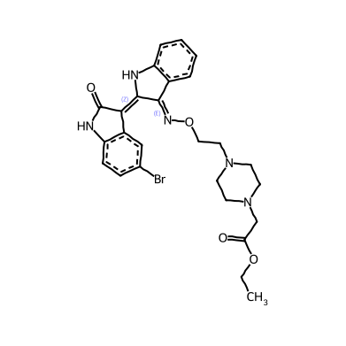 CCOC(=O)CN1CCN(CCO/N=C2/C(=C3/C(=O)Nc4ccc(Br)cc43)Nc3ccccc32)CC1